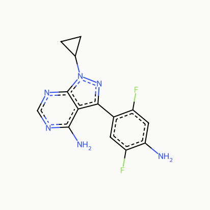 Nc1cc(F)c(-c2nn(C3CC3)c3ncnc(N)c23)cc1F